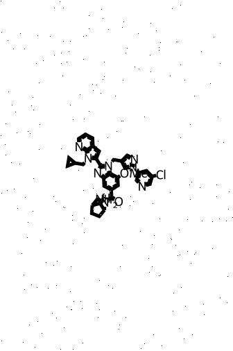 COc1cc(C(=O)N2CC3CCC2[C@@H]3N)cc2nc(-c3cc4cccnc4n3CC3CC3)n(Cc3cnn(-c4cncc(Cl)c4)c3)c12